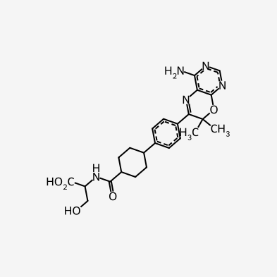 CC1(C)Oc2ncnc(N)c2N=C1c1ccc(C2CCC(C(=O)NC(CO)C(=O)O)CC2)cc1